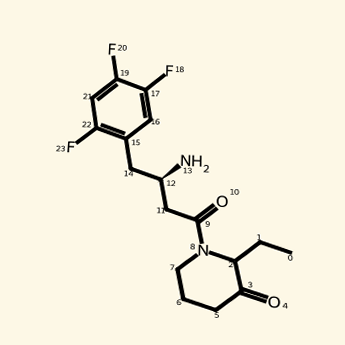 CCC1C(=O)CCCN1C(=O)C[C@H](N)Cc1cc(F)c(F)cc1F